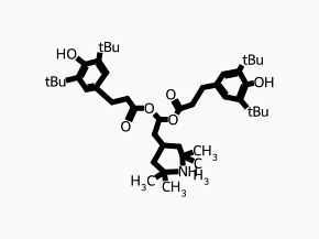 CC1(C)CC(CC(OC(=O)CCc2cc(C(C)(C)C)c(O)c(C(C)(C)C)c2)OC(=O)CCc2cc(C(C)(C)C)c(O)c(C(C)(C)C)c2)CC(C)(C)N1